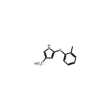 Cc1ccccc1Sc1cc(C(=O)O)c[nH]1